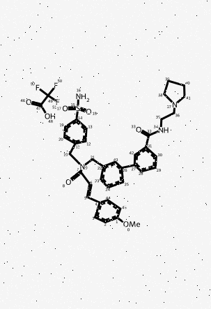 COc1ccc(C=CC(=O)N(Cc2ccc(S(N)(=O)=O)cc2)Cc2cccc(-c3cccc(C(=O)NCCN4CCCC4)c3)c2)cc1.O=C(O)C(F)(F)F